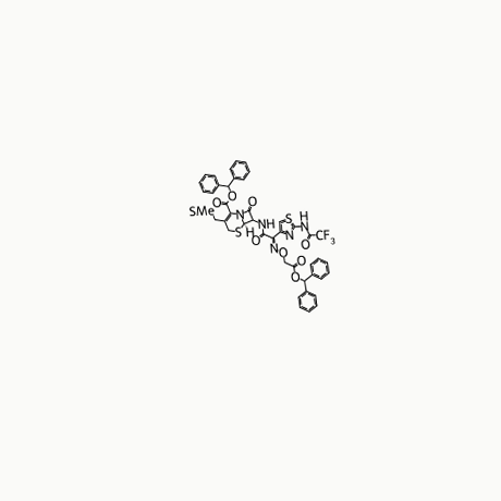 CSCC1=C(C(=O)OC(c2ccccc2)c2ccccc2)N2C(=O)C(NC(=O)/C(=N/OCC(=O)OC(c3ccccc3)c3ccccc3)c3csc(NC(=O)C(F)(F)F)n3)[C@H]2SC1